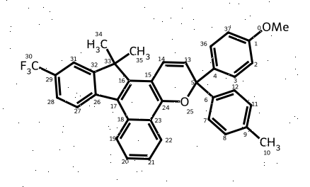 COc1ccc(C2(c3ccc(C)cc3)C=Cc3c4c(c5ccccc5c3O2)-c2ccc(C(F)(F)F)cc2C4(C)C)cc1